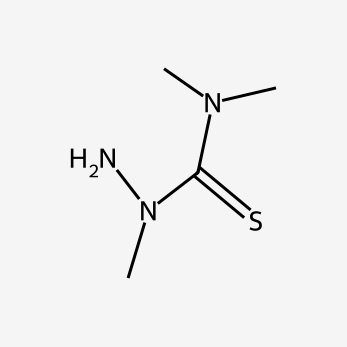 CN(C)C(=S)N(C)N